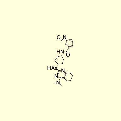 CN(C)c1nc([AsH][C@H]2CC[C@@H](NC(=O)c3cccc([N+](=O)[O-])c3)CC2)nc2c1CCCC2